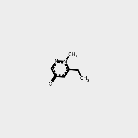 CCc1cc(=O)cnn1C